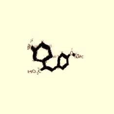 CCCCCCCCCCOc1ccc(C=C(C(=O)O)c2cccc(Br)c2)cc1